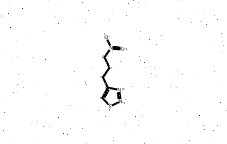 O=[N+]([O-])CCCc1csnn1